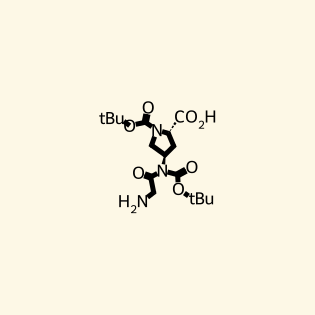 CC(C)(C)OC(=O)N1C[C@H](N(C(=O)CN)C(=O)OC(C)(C)C)C[C@H]1C(=O)O